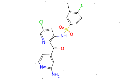 Cc1cc(S(=O)(=O)Nc2cc(Cl)cnc2C(=O)c2ccnc(N)c2)ccc1Cl